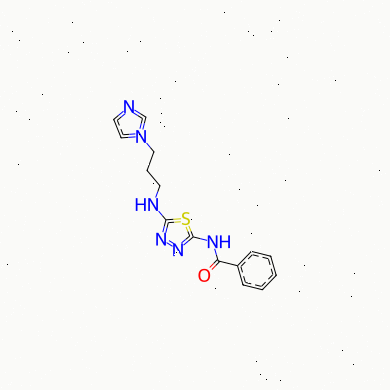 O=C(Nc1nnc(NCCCn2ccnc2)s1)c1ccccc1